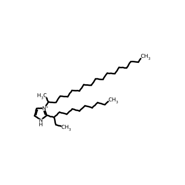 CCCCCCCCCCCCCCCCC(C)[n+]1cc[nH]c1C(CC)CCCCCCCCC